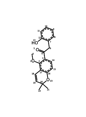 COc1c(C(=O)Cc2ccccc2O)ccc2c1C=CC(C)(C)O2